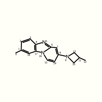 Cc1ccc2nc3cc(N4CC(C)C4)ccn3c2c1